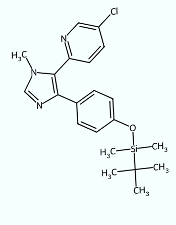 Cn1cnc(-c2ccc(O[Si](C)(C)C(C)(C)C)cc2)c1-c1ccc(Cl)cn1